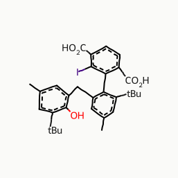 Cc1cc(Cc2cc(C)cc(C(C)(C)C)c2-c2c(C(=O)O)ccc(C(=O)O)c2I)c(O)c(C(C)(C)C)c1